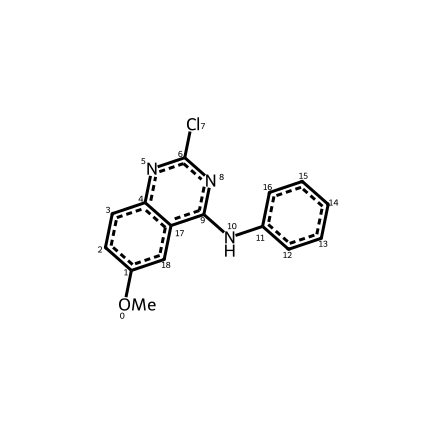 COc1ccc2nc(Cl)nc(Nc3ccccc3)c2c1